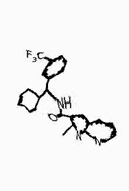 Cc1nc2ncccc2cc1C(=O)NC(c1cccc(C(F)(F)F)c1)C1CC=CCC1